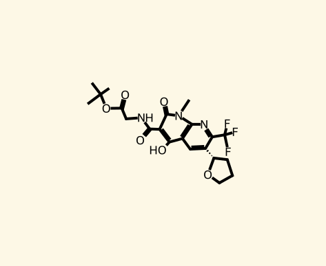 Cn1c(=O)c(C(=O)NCC(=O)OC(C)(C)C)c(O)c2cc([C@@H]3CCCO3)c(C(F)(F)F)nc21